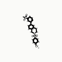 CS(=O)(=O)c1cccc(-c2ccc3c(c2)CCN(S(=O)(=O)c2ccc(C(F)(F)F)cc2)C3)c1